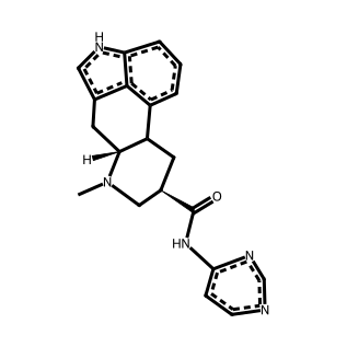 CN1C[C@H](C(=O)Nc2ccncn2)CC2c3cccc4[nH]cc(c34)C[C@H]21